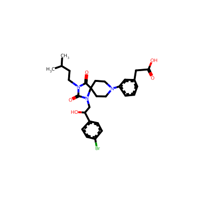 CC(C)CCN1C(=O)N(CC(O)c2ccc(Br)cc2)C2(CCN(c3cccc(CC(=O)O)c3)CC2)C1=O